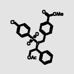 COC(=O)c1ccc(CN(C(COC(C)=O)c2ccccc2)S(=O)(=O)c2ccc(Cl)cc2)cc1